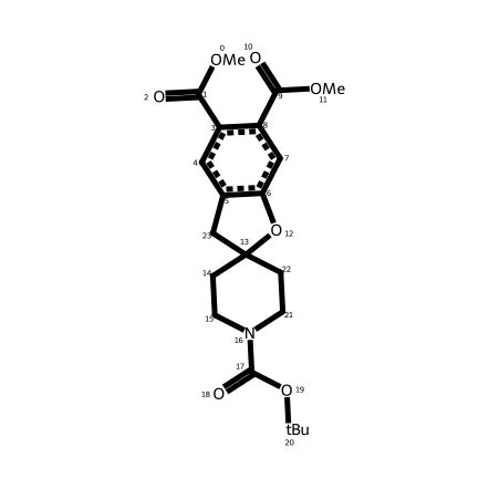 COC(=O)c1cc2c(cc1C(=O)OC)OC1(CCN(C(=O)OC(C)(C)C)CC1)C2